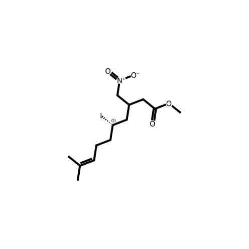 COC(=O)CC(C[C@@H](I)CCC=C(C)C)C[N+](=O)[O-]